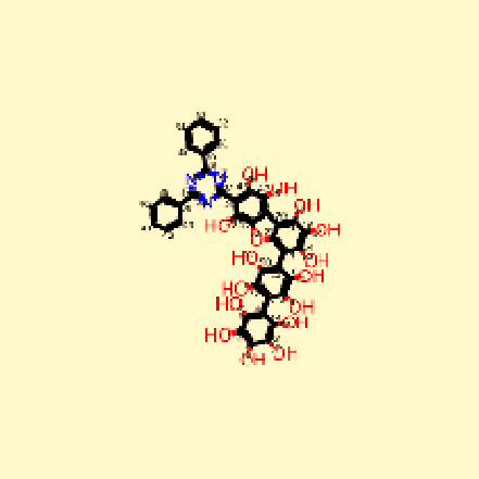 Oc1c(O)c(O)c(-c2c(O)c(O)c(-c3c(O)c(O)c(O)c4c3oc3c(O)c(-c5nc(-c6ccccc6)nc(-c6ccccc6)n5)c(O)c(O)c34)c(O)c2O)c(O)c1O